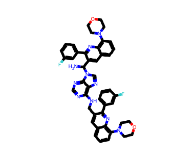 NC(c1cc2cccc(N3CCOCC3)c2nc1-c1cccc(F)c1)n1cnc2c(NCc3cc4cccc(N5CCOCC5)c4nc3-c3cccc(F)c3)ncnc21